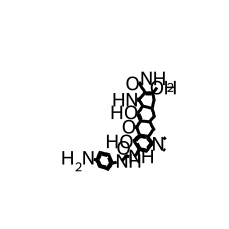 CN(C)c1cc(NC(=O)Nc2ccc(N)cc2)c(O)c2c1CC1CC3CC(O)=C(C(N)=O)C(=N)C3C(O)=C1C2=O